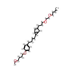 [CH2+][CH-]CCOCCOCCCC1CC2C(CCCCc3ccc(OCCCCOC)cc3)C2C1